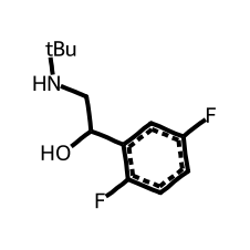 CC(C)(C)NCC(O)c1cc(F)ccc1F